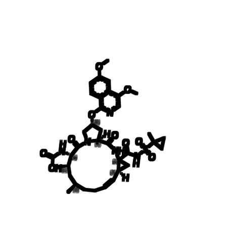 COc1ccc2c(O[C@@H]3C[C@H]4C(=O)N[C@]5(C(=O)NS(=O)(=O)C6(C)CC6)C[C@H]5C=CCC[C@@H](C)C[C@@H](C)[C@H](NC(=O)O)C(=O)N4C3)ncc(OC)c2c1